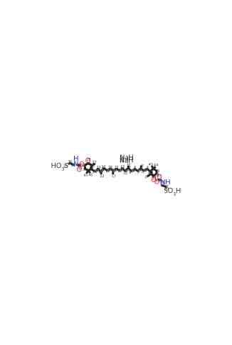 CC1=C(/C=C/C(C)=C/C=C/C(C)=C/C=C/C=C(C)/C=C/C=C(C)/C=C/C2=C(C)C(=O)C(OC(=O)NCCS(=O)(=O)O)CC2(C)C)C(C)(C)CC(OC(=O)NCCS(=O)(=O)O)C1=O.[NaH].[NaH]